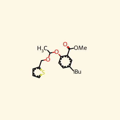 CCC(C)c1ccc(OC(C)OCc2cccs2)c(C(=O)OC)c1